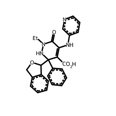 CCN1NC(c2ccccc2)(C2OCc3ccccc32)C(C(=O)O)=C(Nc2cccnc2)C1=O